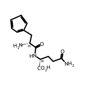 NC(=O)CC[C@@H](NC(=O)[C@H](N)Cc1ccccc1)C(=O)O